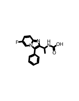 CC(NC(=O)O)c1nc2ccc(F)cn2c1-c1ccccc1